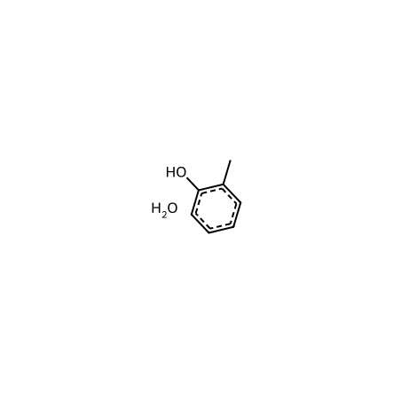 Cc1ccccc1O.O